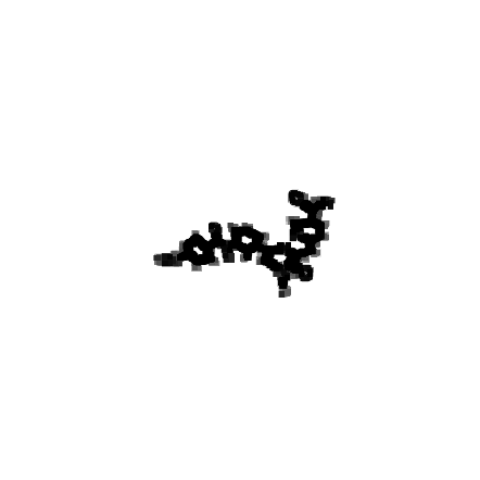 Cc1c(NC(=O)c2ccc(C(C)(C)C)cc2)cccc1-c1cn(C)c(=O)c(Cc2ccc(C(=O)C(C)C)cn2)n1